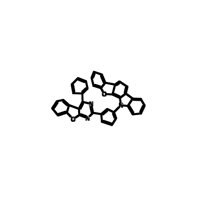 c1ccc(-c2nc(-c3cccc(-n4c5ccccc5c5ccc6c7ccccc7oc6c54)c3)nc3oc4ccccc4c23)cc1